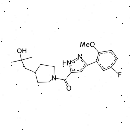 COc1ccc(F)cc1-c1cc(C(=O)N2CCC(CC(C)(C)O)CC2)[nH]n1